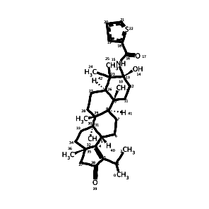 CC(C)C1=C2[C@H]3CC[C@@H]4[C@@]5(C)CC[C@@](O)(NC(=O)c6cccs6)C(C)(C)[C@@H]5CC[C@@]4(C)[C@]3(C)CC[C@@]2(C)CC1=O